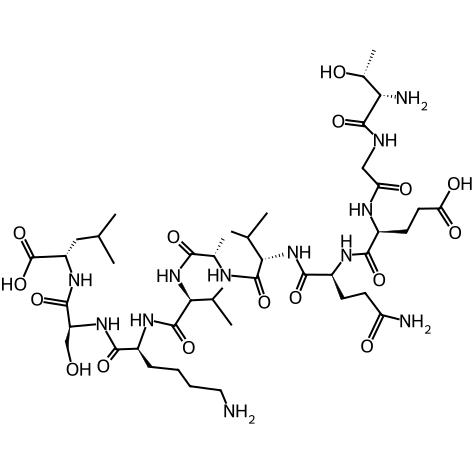 CC(C)C[C@H](NC(=O)[C@H](CO)NC(=O)[C@H](CCCCN)NC(=O)[C@@H](NC(=O)[C@H](C)NC(=O)[C@@H](NC(=O)[C@H](CCC(N)=O)NC(=O)[C@H](CCC(=O)O)NC(=O)CNC(=O)[C@@H](N)[C@@H](C)O)C(C)C)C(C)C)C(=O)O